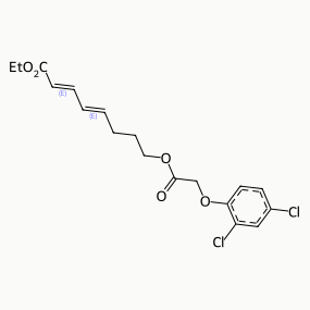 CCOC(=O)/C=C/C=C/CCCOC(=O)COc1ccc(Cl)cc1Cl